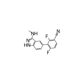 CNc1n[nH]c2ccc(-c3c(F)ccc(C#N)c3F)cc12